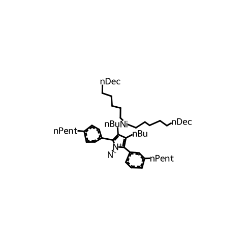 CCCCCCCCCCCCCC[CH2][Ni][CH2]CCCCCCCCCCCCCC.CCCCCc1ccc(C2=C(CCCC)C(CCCC)=C(c3cccc(CCCCC)c3)[N+]2=[N-])cc1